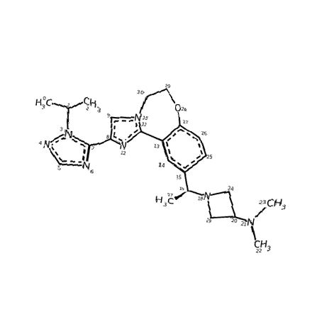 CC(C)n1ncnc1-c1cn2c(n1)-c1cc([C@H](C)N3CC(N(C)C)C3)ccc1OCC2